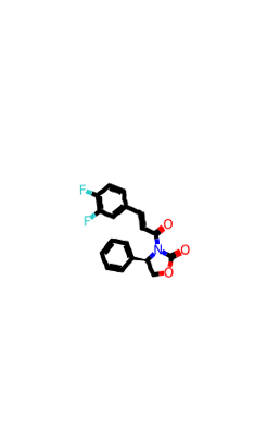 O=C(/C=C/c1ccc(F)c(F)c1)N1C(=O)OC[C@H]1c1ccccc1